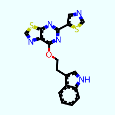 c1ccc2c(CCOc3nc(-c4cncs4)nc4scnc34)c[nH]c2c1